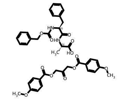 COc1ccc(C(=O)OCC(=O)COC(=O)c2ccc(OC)cc2)cc1.C[C@H](NC(=O)[C@H](Cc1ccccc1)NC(=O)OCc1ccccc1)C(=O)O